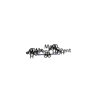 CCCCCC(OC(=O)CCC(NC(=O)OCc1ccccc1)C(=O)OC)C(O)C/C=C\CCCCCCCC(=O)OCOC(=O)CCCCCCC/C=C\CC(O)C(CCCCC)OC(=O)CCC(NC(=O)OCc1ccccc1)C(=O)OC